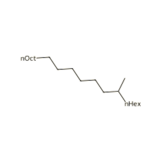 [CH2]CCCCCCCCCCCCCC(C)CCCCCC